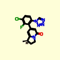 C[C@@H]1CCn2c1cc(-c1c(-n3cnnn3)ccc(Cl)c1F)cc2=O